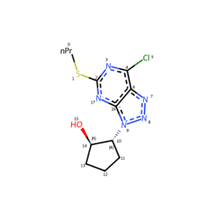 CCCSc1nc(Cl)c2nnn([C@@H]3CCC[C@H]3O)c2n1